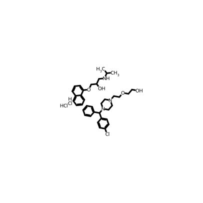 CC(C)NCC(O)COc1cccc2ccccc12.Cl.Cl.OCCOCCN1CCN(C(c2ccccc2)c2ccc(Cl)cc2)CC1